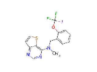 CN(Cc1ccccc1OC(F)(F)I)c1ncnc2ccsc12